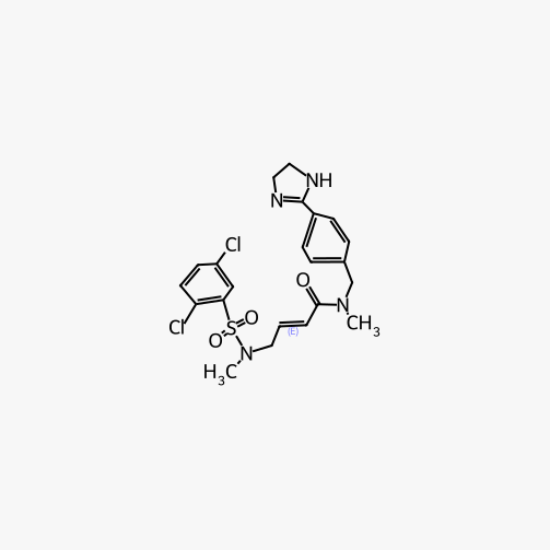 CN(Cc1ccc(C2=NCCN2)cc1)C(=O)/C=C/CN(C)S(=O)(=O)c1cc(Cl)ccc1Cl